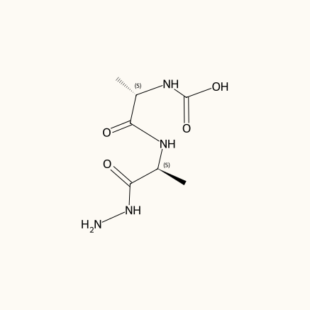 C[C@H](NC(=O)O)C(=O)N[C@@H](C)C(=O)NN